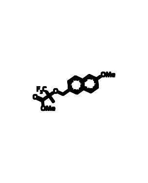 COC(=O)C(C)(OCc1ccc2cc(OC)ccc2c1)C(F)(F)F